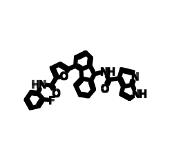 O=C(Nc1ccccc1F)c1ccc(-c2cccc3c2-c2ccccc2C3NC(=O)c2ccnc3[nH]ccc23)o1